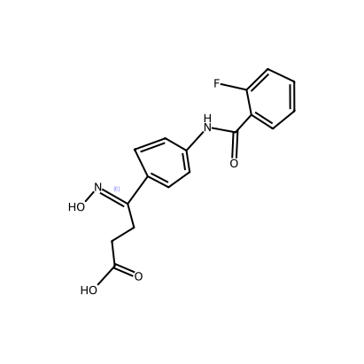 O=C(O)CC/C(=N\O)c1ccc(NC(=O)c2ccccc2F)cc1